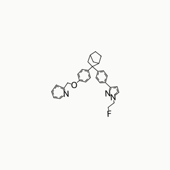 FCCn1ccc(-c2ccc(C3(c4ccc(OCc5ccccn5)cc4)CC4CCC3C4)cc2)n1